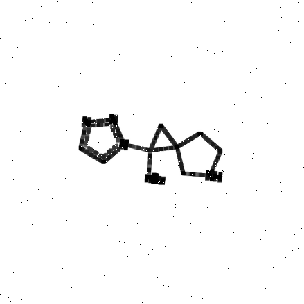 CCCCC1(n2ccnn2)CC12CCNC2